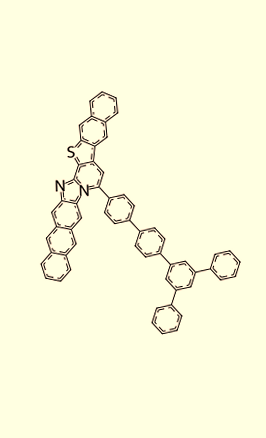 c1ccc(-c2cc(-c3ccccc3)cc(-c3ccc(-c4ccc(-c5cc6c7cc8ccccc8cc7sc6c6nc7cc8cc9ccccc9cc8cc7n56)cc4)cc3)c2)cc1